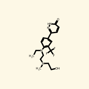 CCN(CCN(C)CCO)c1ccc(-c2ccc(=O)[nH]n2)cc1C(F)(F)F